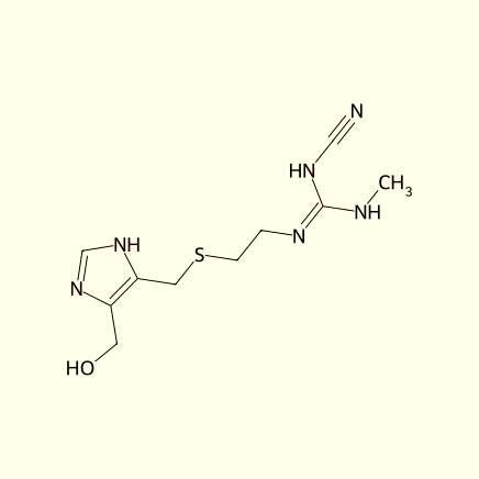 CNC(=NCCSCc1[nH]cnc1CO)NC#N